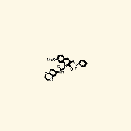 COc1ccc2cc(CNc3ccccc3)c(=O)n(CC(=O)Nc3ccc4c(c3)OCCO4)c2c1